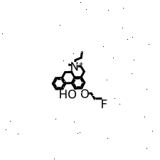 CCC[N+]1(C)CCc2cc(OCCCF)c(O)c3c2C1Cc1ccccc1-3